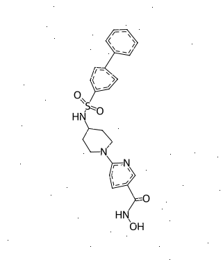 O=C(NO)c1ccc(N2CCC(NS(=O)(=O)c3ccc(-c4ccccc4)cc3)CC2)nc1